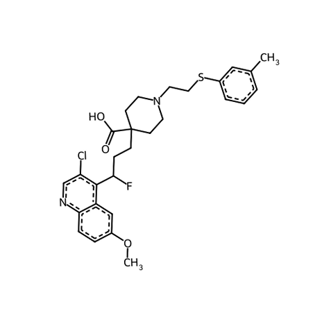 COc1ccc2ncc(Cl)c(C(F)CCC3(C(=O)O)CCN(CCSc4cccc(C)c4)CC3)c2c1